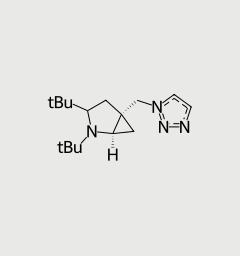 CC(C)(C)C1C[C@@]2(Cn3ccnn3)C[C@H]2N1C(C)(C)C